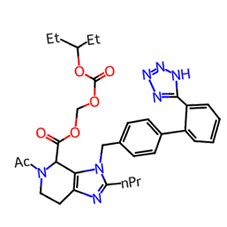 CCCc1nc2c(n1Cc1ccc(-c3ccccc3-c3nnn[nH]3)cc1)C(C(=O)OCOC(=O)OC(CC)CC)N(C(C)=O)CC2